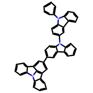 c1ccc(-n2c3ccccc3c3cc(-n4c5ccccc5c5cc(-c6cc7c8ccccc8n8c9ccccc9c(c6)c78)ccc54)ccc32)cc1